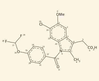 COc1cc2c(CC(=O)O)c(C)n(C(=O)c3ccc(OC(F)F)cc3)c2cc1Cl